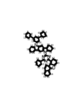 c1ccc(-c2cc(-c3ccccc3)cc(-n3c4ccccc4c4cc5c(cc43)c3ccccc3n5-c3nc(-c4ccccc4)nc(-c4cccc5oc6c7ccccc7ccc6c45)n3)c2)cc1